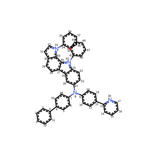 c1ccc(-c2ccc(N(c3ccc(-c4ccccn4)cc3)c3ccc4c(c3)c3ccc5ccn(-c6ccccc6)c5c3n4-c3ccccc3)cc2)cc1